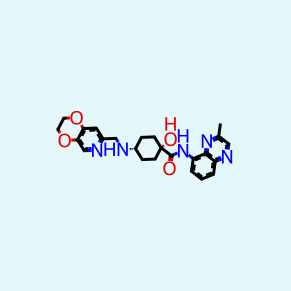 Cc1cnc2cccc(NC(=O)[C@]3(O)CC[C@H](NCc4cc5c(cn4)OCCO5)CC3)c2n1